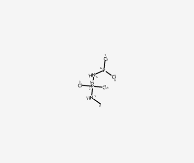 CN[PH](Cl)(Cl)NP(Cl)Cl